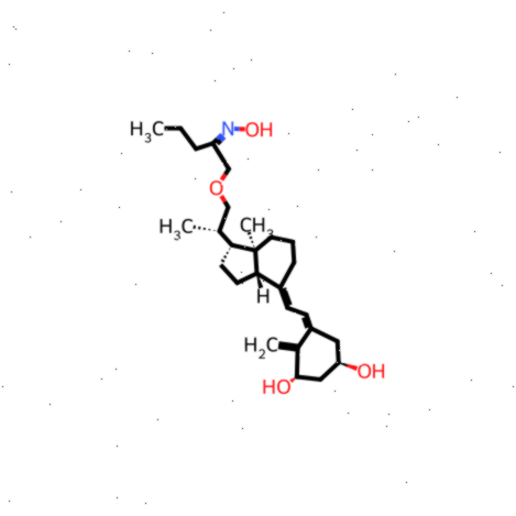 C=C1/C(=C\C=C2/CCC[C@]3(C)[C@@H]([C@H](C)COC/C(CCC)=N\O)CC[C@@H]23)C[C@@H](O)C[C@@H]1O